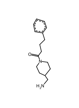 NCC1CCN(C(=O)CCCc2ccccc2)CC1